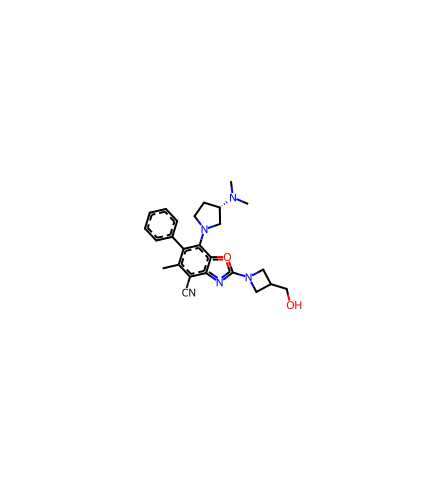 Cc1c(-c2ccccc2)c(N2CC[C@H](N(C)C)C2)c2oc(N3CC(CO)C3)nc2c1C#N